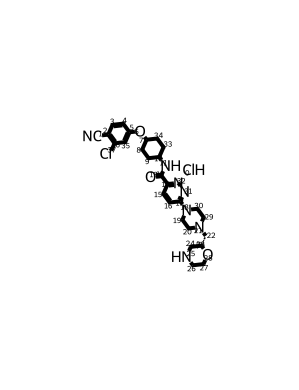 Cl.N#Cc1ccc(OC2CCC(NC(=O)c3ccc(N4CCN(C[C@H]5CNCCO5)CC4)nn3)CC2)cc1Cl